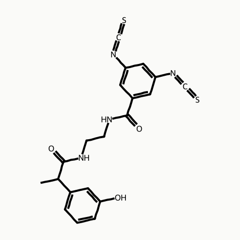 CC(C(=O)NCCNC(=O)c1cc(N=C=S)cc(N=C=S)c1)c1cccc(O)c1